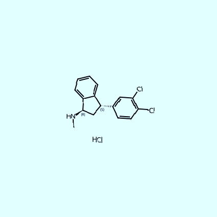 CN[C@@H]1C[C@@H](c2ccc(Cl)c(Cl)c2)c2ccccc21.Cl